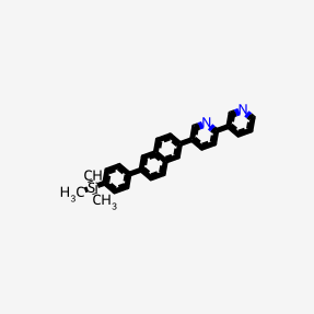 C[Si](C)(C)c1ccc(-c2ccc3cc(-c4ccc(-c5cccnc5)nc4)ccc3c2)cc1